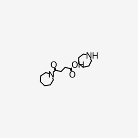 C1CCCNCC1.O=C(O)CCC(=O)N1CCCCCC1